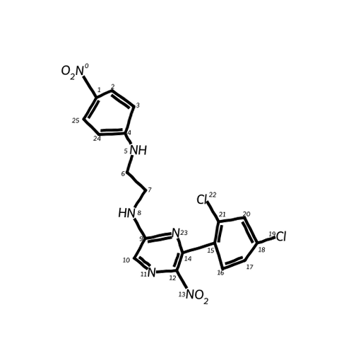 O=[N+]([O-])c1ccc(NCCNc2cnc([N+](=O)[O-])c(-c3ccc(Cl)cc3Cl)n2)cc1